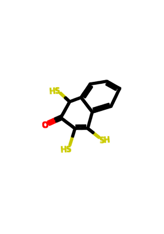 O=C1C(S)=C(S)c2ccccc2C1S